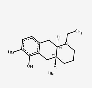 Br.CCN1CCC[C@@H]2Cc3c(ccc(O)c3O)C[C@H]21